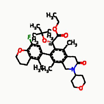 CCOC(=O)[C@@H](OC(C)(C)C)c1c(C)c2c(c(C)c1-c1cc(F)c3c(c1C)CCCO3)CN(C1CCOCC1)C(=O)C2